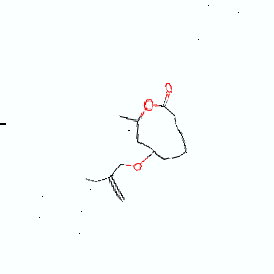 C=C(C)COC1CCCCC(=O)OC(C)C1